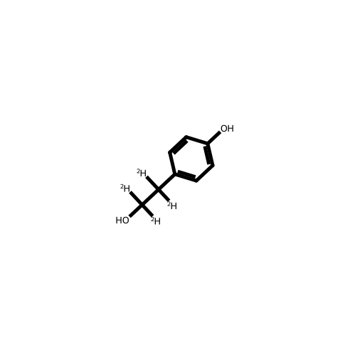 [2H]C([2H])(O)C([2H])([2H])c1ccc(O)cc1